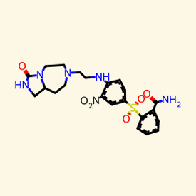 NC(=O)c1ccccc1S(=O)(=O)c1ccc(NCCN2CCC3CNC(=O)N3CC2)c([N+](=O)[O-])c1